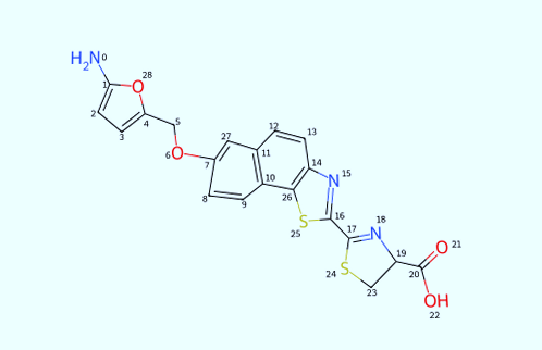 Nc1ccc(COc2ccc3c(ccc4nc(C5=NC(C(=O)O)CS5)sc43)c2)o1